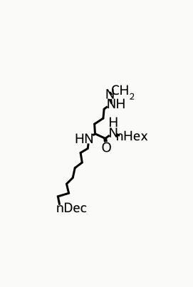 C=NNCCCC(NCCCCCCCCCCCCCCCCCC)C(=O)NCCCCCC